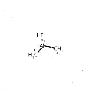 F.[CH3][Al][CH3]